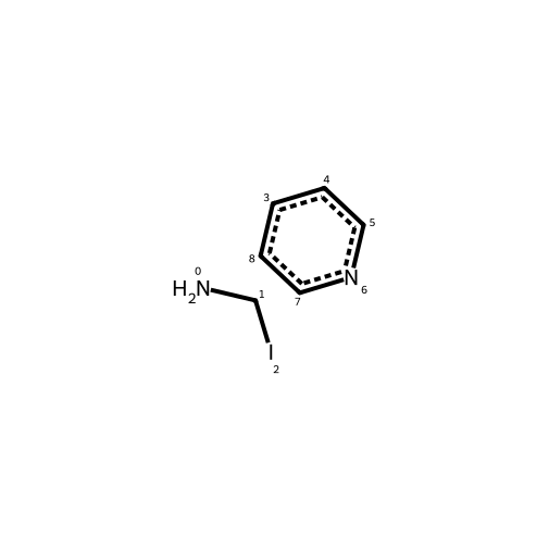 NCI.c1ccncc1